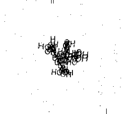 CC(=O)NC1C(OCCOCCNC(=O)CCC(NC(=O)CCC(NC(=O)CCC(C)(C)OCC(C)(C)O[PH](=O)S)C(=O)NCCOCCOC2OC(CO)C(O)C(O)C2NC(C)=O)C(=O)NCCOCCOC2OC(CO)C(O)C(O)C2NC(C)=O)OC(CO)C(O)C1O